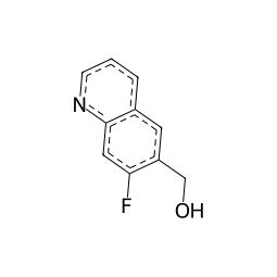 OCc1cc2cccnc2cc1F